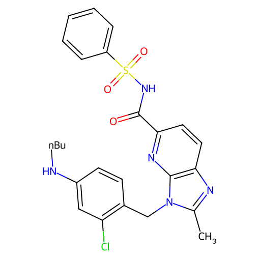 CCCCNc1ccc(Cn2c(C)nc3ccc(C(=O)NS(=O)(=O)c4ccccc4)nc32)c(Cl)c1